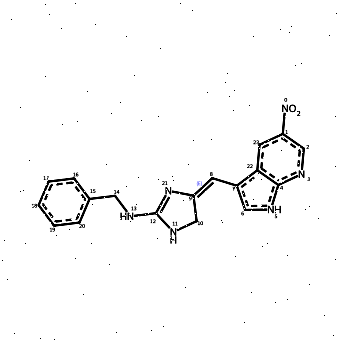 O=[N+]([O-])c1cnc2[nH]cc(/C=C3\CNC(NCc4ccccc4)=N3)c2c1